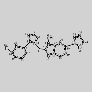 CCCn1c(Cn2ccnc2-c2cccc(F)n2)nc2ccc(-c3nnco3)nc21